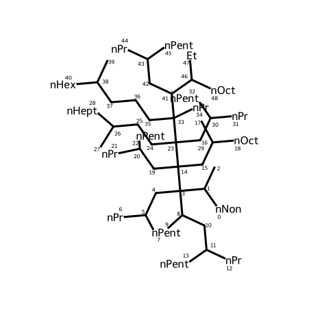 CCCCCCCCCC(C)C(CC(CCC)CCCCC)(C(C)CC(CCC)CCCCC)C(CC(C)CCCCCCCC)(CC(CCC)CCCCC)C(CCC(C)CCCCCCC)(CC(CCC)CCCCC)C(CCC)(CCCC(C)CCCCCC)[C](CC(CCC)CCCCC)C(CC)CCCCCCCC